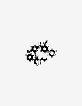 CCCNC(=O)[C@@H](C=O)c1ccccc1Nc1nc(Nc2ccc(N3CCOCC3)cc2OC)ncc1Br